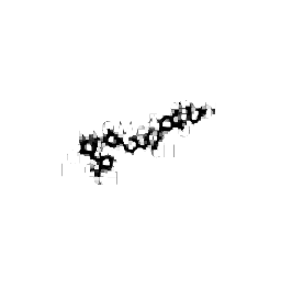 COc1cc(N2CCC(CN3C(C)CN(c4cc5c(cc4F)C(=O)N(C4CCC(=O)NC4=O)C5=O)CC3C)CC2)ccc1Nc1ncc(Cl)c(Nc2ccccc2P(C)C)n1